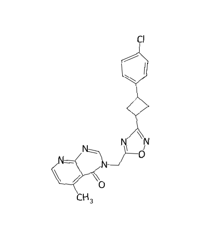 Cc1ccnc2ncn(Cc3nc(C4CC(c5ccc(Cl)cc5)C4)no3)c(=O)c12